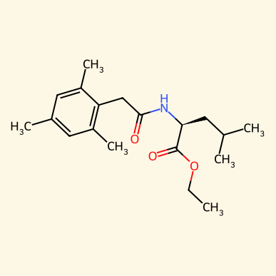 CCOC(=O)[C@H](CC(C)C)NC(=O)Cc1c(C)cc(C)cc1C